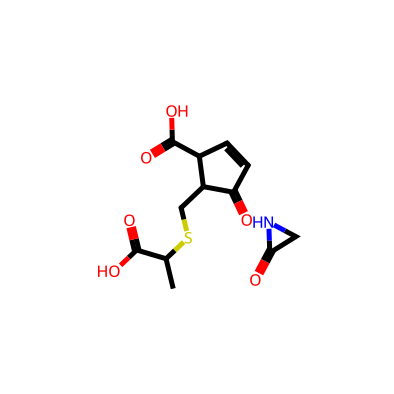 CC(SCC1C(=O)C=CC1C(=O)O)C(=O)O.O=C1CN1